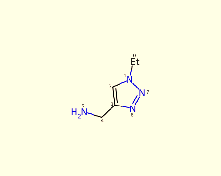 CCn1cc(CN)nn1